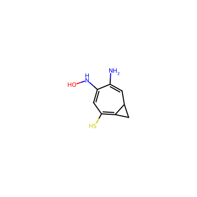 NC1=CC2CC2=C(S)C=C1NO